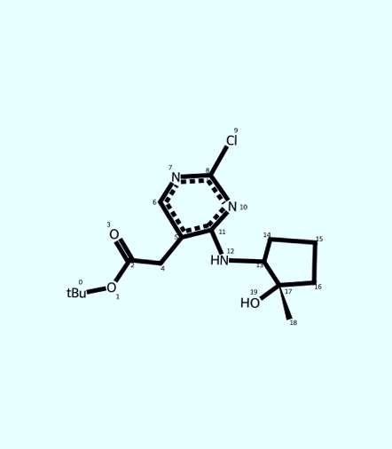 CC(C)(C)OC(=O)Cc1cnc(Cl)nc1NC1CCC[C@]1(C)O